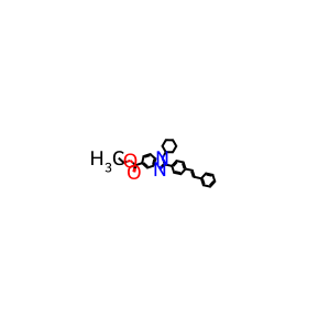 CCOC(=O)c1ccc2c(c1)nc(-c1ccc(/C=C/c3ccccc3)cc1)n2C1CCCCC1